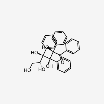 O=C(c1ccccc1)[C@@](O)(c1ccccc1)[C@](O)(c1ccccc1)[C@@](O)(c1ccccc1)[C@H](O)CO